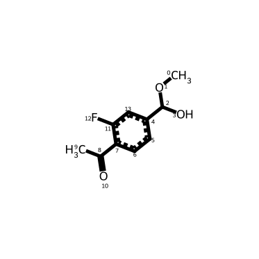 COC(O)c1ccc(C(C)=O)c(F)c1